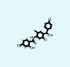 Cc1cc(C(C#N)c2ccc(Cl)cc2)c(Cl)cc1NC(=O)c1ccc(Cl)cc1O